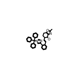 Cc1nc2c(o1)CCC(C=Cc1ccccc1-c1cn(C(c3ccccc3)(c3ccccc3)c3ccccc3)cn1)C2=O